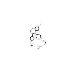 O=S(=O)(c1ccc(C2=C(C3=CC=C(O[C@H]4CCN(CCCF)C4)CC=C3)c3ccc(O)cc3CCC2)cc1)C(F)(F)F